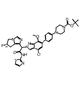 COc1c(-c2ccc(N3CCN(C(=O)OC(C)(C)C)CC3)cc2)cc(Cl)c2cn(C(C(=O)Nc3nccs3)c3ncn4c3C[C@@H](F)C4)nc12